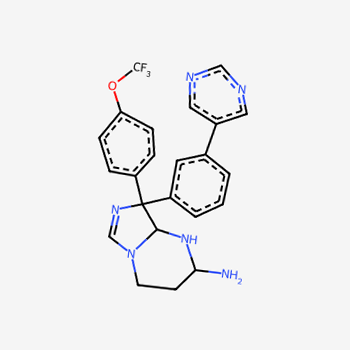 NC1CCN2C=NC(c3ccc(OC(F)(F)F)cc3)(c3cccc(-c4cncnc4)c3)C2N1